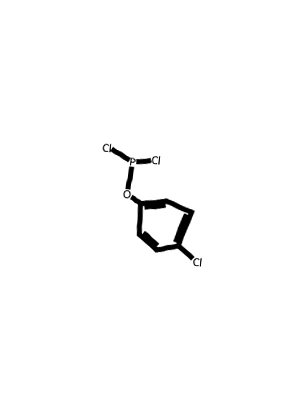 Clc1ccc(OP(Cl)Cl)cc1